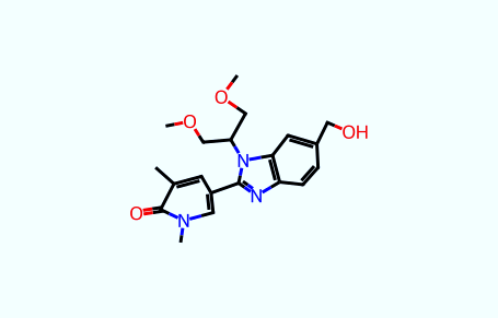 COCC(COC)n1c(-c2cc(C)c(=O)n(C)c2)nc2ccc(CO)cc21